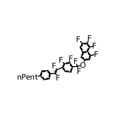 CCCCCc1ccc(/C(F)=C(\F)c2ccc(C(F)(F)Oc3cc(F)c4c(F)c(F)c(F)cc4c3)c(F)c2F)cc1